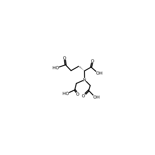 O=C(O)CC[C@H](C(=O)O)N(CC(=O)O)CC(=O)O